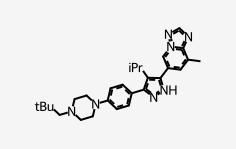 Cc1cc(-c2[nH]nc(-c3ccc(N4CCN(CC(C)(C)C)CC4)cc3)c2C(C)C)cn2ncnc12